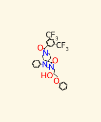 O=C(c1cc(C(F)(F)F)cc(C(F)(F)F)c1)N1CCC2(CC1)C(=O)N(CC(O)COc1ccccc1)CN2c1ccccc1